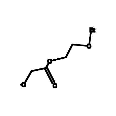 CCOCCOC(=O)C[O]